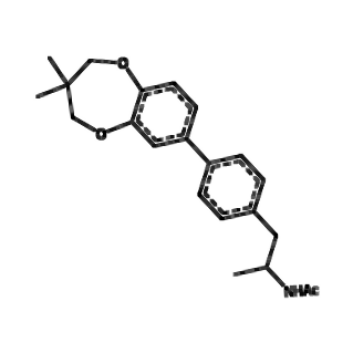 CC(=O)NC(C)Cc1ccc(-c2ccc3c(c2)OCC(C)(C)CO3)cc1